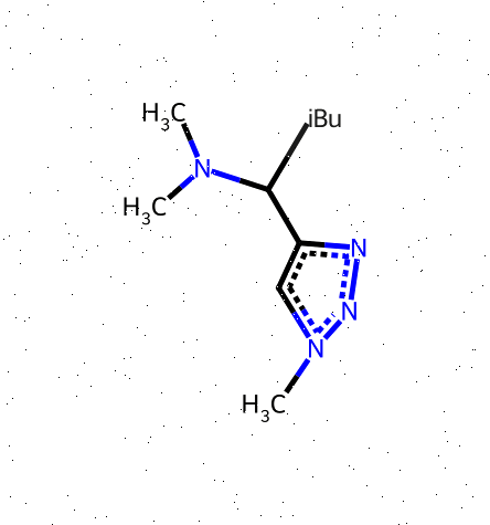 CCC(C)C(c1cn(C)nn1)N(C)C